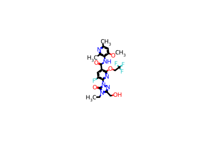 CCn1c(CO)nn(-c2nc(OCC(F)(F)F)c(C(=O)Nc3c(OC)cc(C)nc3C)cc2F)c1=O